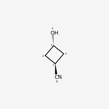 N#C[C@H]1C[C@H](O)C1